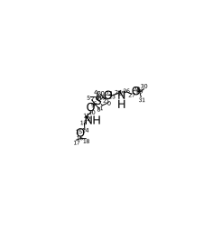 CCS(C(C)C)(C(C)(C)OCCNCCOC(C)C)C(C)(C)OCCNCCOC(C)C